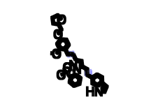 COc1cc(OCC2CCCO2)ccc1/C=C/c1cc(/C=C/c2ccc3cc[nH]c3c2)n(-c2ccccc2[N+](=O)[O-])n1